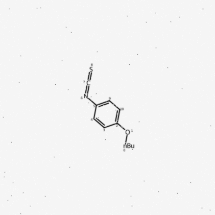 CCCCOc1ccc(N=C=S)cc1